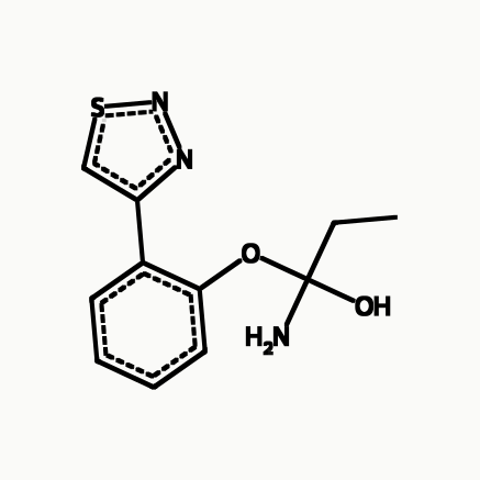 CCC(N)(O)Oc1ccccc1-c1csnn1